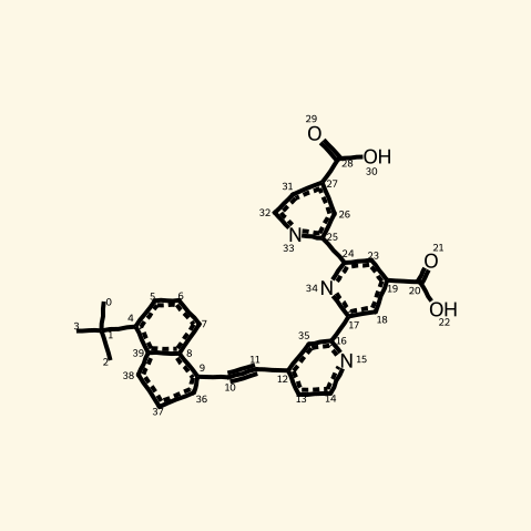 CC(C)(C)c1cccc2c(C#Cc3ccnc(-c4cc(C(=O)O)cc(-c5cc(C(=O)O)ccn5)n4)c3)cccc12